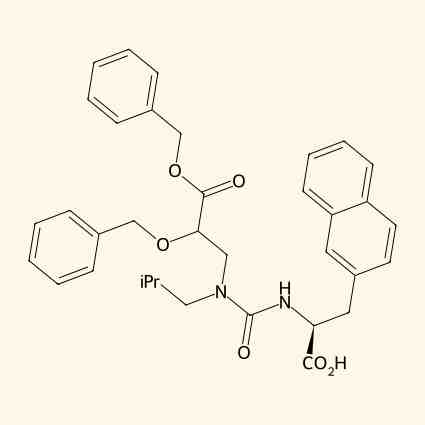 CC(C)CN(CC(OCc1ccccc1)C(=O)OCc1ccccc1)C(=O)N[C@@H](Cc1ccc2ccccc2c1)C(=O)O